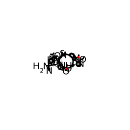 CCn1c(-c2cccnc2[C@H](C)OC)c2c3cc(ccc31)-c1csc(n1)C[C@H](NC(=O)[C@H](C(C)C)N(C)C(=O)N1CC(N)(C#N)C1)C(=O)N1CCC[C@H](N1)C(=O)OCC(C)(C)C2